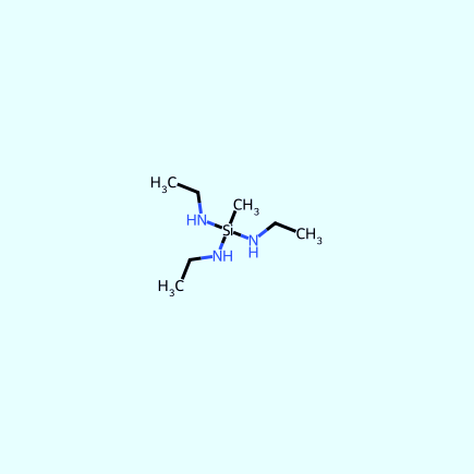 CCN[Si](C)(NCC)NCC